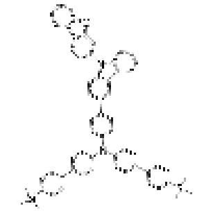 C[Si](C)(C)c1ccc(-c2ccc(N(c3ccc(-c4ccc([Si](C)(C)C)cc4)cc3)c3ccc(-c4ccc5c(c4)c4ccccc4n5-c4ccc5c(c4)oc4ccccc45)cc3)cc2)cc1